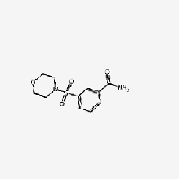 NC(=O)c1cccc(S(=O)(=O)N2CCOCC2)c1